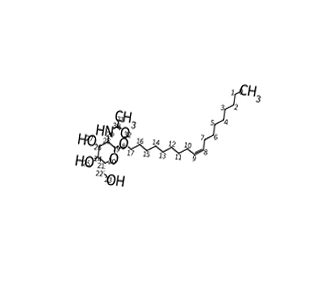 CCCCCCCC/C=C\CCCCCCCCO[C@H]1O[C@H](CO)[C@@H](O)[C@H](O)[C@H]1NC(C)=O